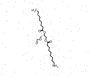 CCCCCCCCC(=O)O[C@@H](COP=O)COC(=O)CCCCCCCCN